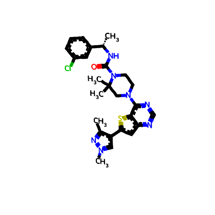 Cc1nn(C)cc1-c1cc2ncnc(N3CCN(C(=O)N[C@@H](C)c4cccc(Cl)c4)C(C)(C)C3)c2s1